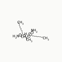 CCCCCCCCCCCC(c1ccc(C(CC)c2ccc(C(CCCCCCCCCCC)c3ccc(N)cc3C)cc2)cc1)c1ccc(N)cc1C